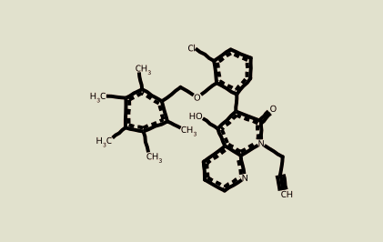 C#CCn1c(=O)c(-c2cccc(Cl)c2OCc2c(C)c(C)c(C)c(C)c2C)c(O)c2cccnc21